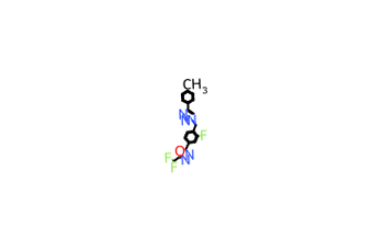 Cc1ccc(-c2cn(Cc3ccc(-c4nnc(C(F)F)o4)cc3F)nn2)cc1